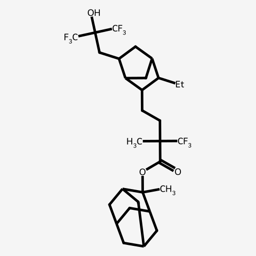 CCC1C2CC(CC(O)(C(F)(F)F)C(F)(F)F)C(C2)C1CCC(C)(C(=O)OC1(C)C2CC3CC(C2)CC1C3)C(F)(F)F